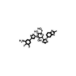 Cc1nc2ccc(-n3ncnc3[C@@H]3O[C@H](CO)[C@H](O)[C@H](n4cc(-c5cc(N)c(F)c(F)c5)nn4)[C@H]3O)cc2s1